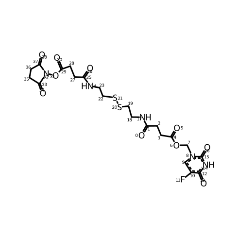 O=C(CCC(=O)OCn1cc(F)c(=O)[nH]c1=O)NCCSSCCNC(=O)CCC(=O)ON1C(=O)CCC1=O